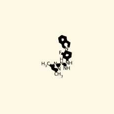 Cc1cc(C)nc(NC(=N)Nc2ccc(N3CCc4ccccc4C3)c(F)c2)n1